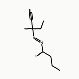 CCCC(F)N=NC(C)(C#N)CC